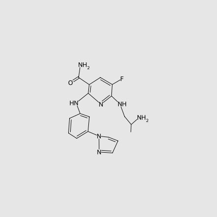 CC(N)CNc1nc(Nc2cccc(-n3cccn3)c2)c(C(N)=O)cc1F